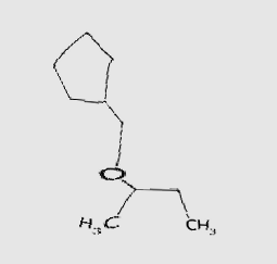 CCC(C)OCC1CCCC1